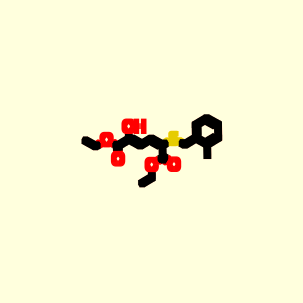 CCOC(=O)C(O)=CC=C(SCc1ccccc1C)C(=O)OCC